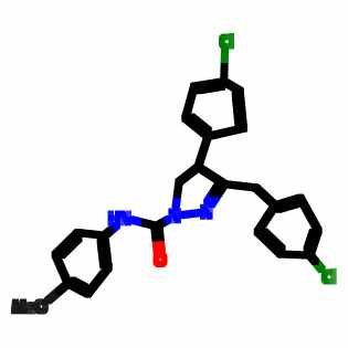 COc1ccc(NC(=O)N2CC(c3ccc(Cl)cc3)C(Cc3ccc(Cl)cc3)=N2)cc1